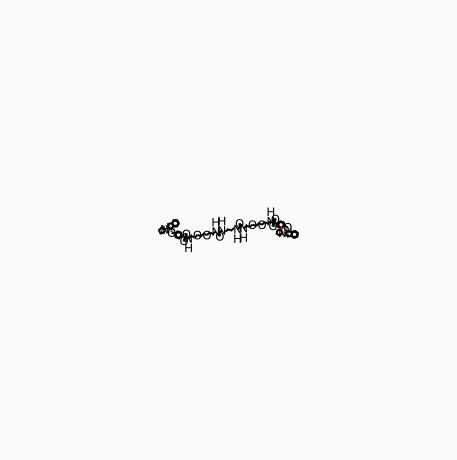 O=C(NCCCCNC(=O)NCCOCCOCCNS(=O)(=O)c1ccc(O[C@H]2c3ccccc3C[C@@H]2N2CCCC2)cc1)NCCOCCOCCNS(=O)(=O)c1ccc(O[C@H]2c3ccccc3C[C@@H]2N2CCCC2)cc1